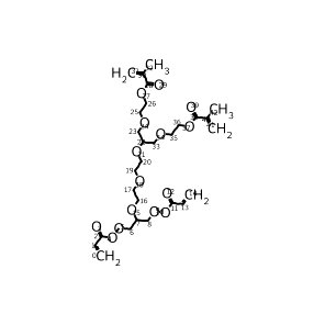 C=CC(=O)OOCC(COOC(=O)C=C)OCCOCCOC(COCCOC(=O)C(=C)C)COCCOC(=O)C(=C)C